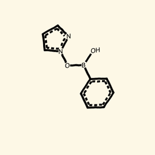 OB(On1cccn1)c1ccccc1